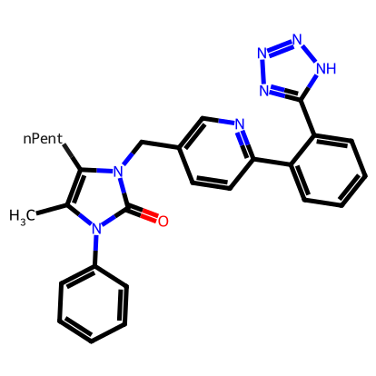 CCCCCc1c(C)n(-c2ccccc2)c(=O)n1Cc1ccc(-c2ccccc2-c2nnn[nH]2)nc1